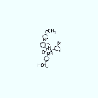 COC1CCN(c2cccc3c2CCN(C(=O)c2cncc(Br)c2)C3C(=O)Nc2ccc(C(=O)O)cc2)CC1